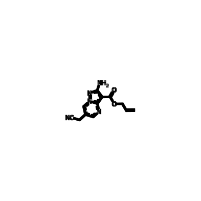 C=CCOC(=O)c1c(N)nn2cc(CC#N)cnc12